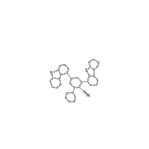 N#Cc1c(-c2ccccc2)cc(-c2cccc3sc4ccccc4c23)cc1-c1cccc2c1sc1ccccc12